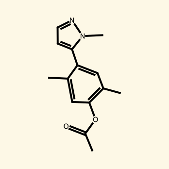 CC(=O)Oc1cc(C)c(-c2ccnn2C)cc1C